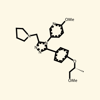 COC[C@@H](C)Oc1ccc(-c2nnc(CN3CCCC3)n2-c2ccc(OC)nc2)cc1